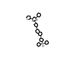 O=P(c1ccccc1)(c1ccccc1)c1ccc(-c2ccc3cc(-c4ccc(-c5nc(-c6ccccc6)cc(-c6ccccc6)n5)cc4)ccc3c2)cc1